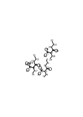 CCCC(=O)C(CC)C(=O)[O-].CCCC(=O)C(CC)C(=O)[O-].CCCC(=O)C(CC)C(=O)[O-].[Cr+3]